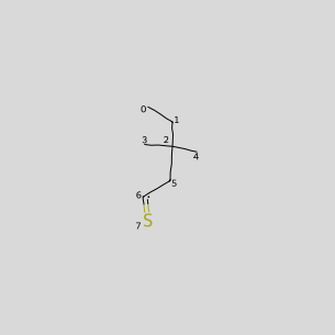 CCC(C)(C)C[C]=S